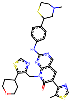 Cc1scnc1-c1cc2cnc(Nc3ccc(C4CN(C)CCS4)cc3)nc2n(Cc2ncsc2C2CCOCC2)c1=O